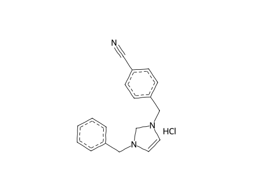 Cl.N#Cc1ccc(CN2C=CN(Cc3ccccc3)C2)cc1